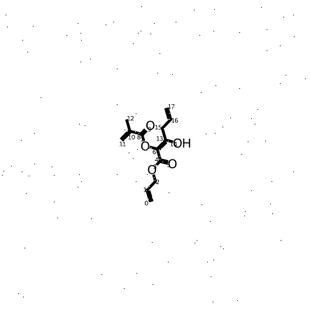 C=CCOC(=O)C(OC(=O)C(=C)C)=C(O)CC=C